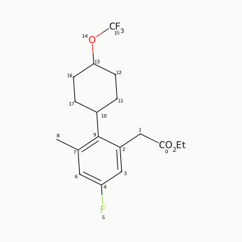 CCOC(=O)Cc1cc(F)cc(C)c1C1CCC(OC(F)(F)F)CC1